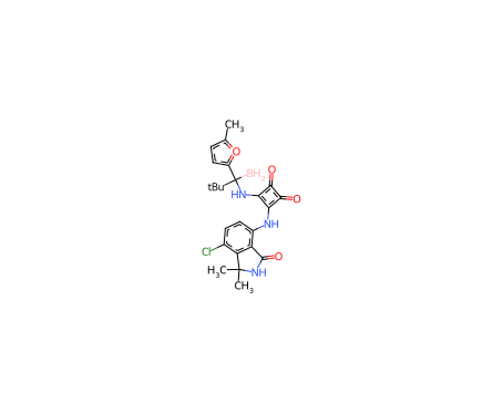 BC(Nc1c(Nc2ccc(Cl)c3c2C(=O)NC3(C)C)c(=O)c1=O)(c1ccc(C)o1)C(C)(C)C